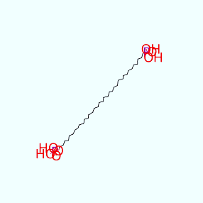 O=P(O)(O)CCCCCCCCCCCCCCCCCCCCCCCCCCCCCCCCCCCOP(=O)(O)O